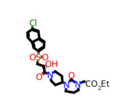 CCOC(=O)CN1CCCN(C2CCN(C(=O)[C@H](O)CS(=O)(=O)c3ccc4cc(Cl)ccc4c3)CC2)C1=O